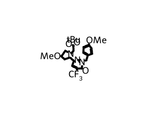 COc1ccc(Cn2nc(C3CC(OC)CN3CC(=O)OC(C)(C)C)cc(C(F)(F)F)c2=O)cc1